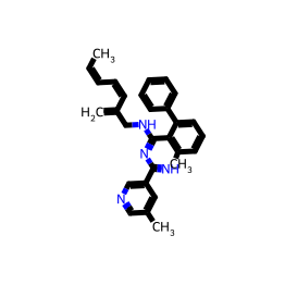 C=C(/C=C\C=C/C)CN/C(=N/C(=N)c1cncc(C)c1)c1c(C)cccc1-c1ccccc1